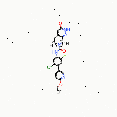 O=C(Nc1cc(Cl)c(-c2ccc(OCC(F)(F)F)nc2)cc1F)N1[C@H]2CC[C@@H]1c1n[nH]c(=O)cc1C2